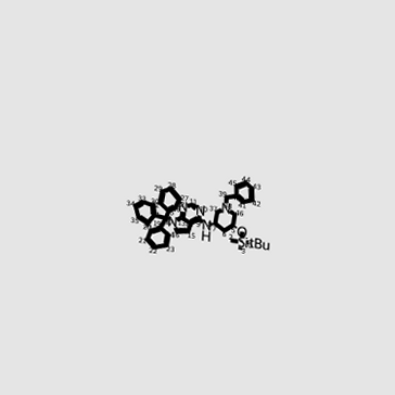 CC(C)(C)[Si](C)(C)O[C@@H]1C[C@@H](Nc2ncnc3c2ccn3C(c2ccccc2)(c2ccccc2)c2ccccc2)CN(Cc2ccccc2)C1